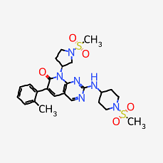 Cc1ccccc1-c1cc2cnc(NC3CCN(S(C)(=O)=O)CC3)nc2n([C@H]2CCN(S(C)(=O)=O)C2)c1=O